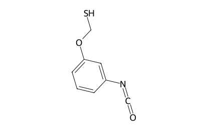 O=C=Nc1cccc(OCS)c1